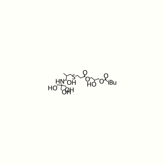 CCC(C)C(=O)OCC(O)COC(=O)CCSCC(C)C(O)NC(CO)(CO)CO